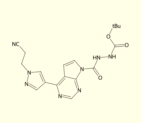 CC(C)(C)OC(=O)NNC(=O)n1ccc2c(-c3cnn(CCC#N)c3)ncnc21